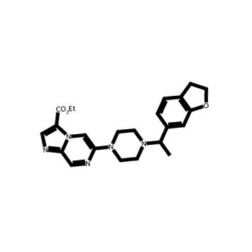 CCOC(=O)c1cnc2cnc(N3CCN(C(C)c4ccc5c(c4)OCC5)CC3)cn12